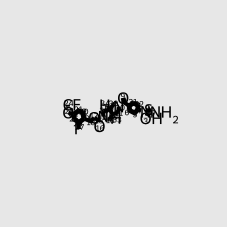 NSN(O)c1ccc(C(=O)N2C[C@H]3CN(C(=O)OCc4ccc(OC(F)(F)F)cc4F)C[C@H]3C2)cc1